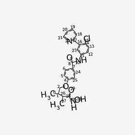 CC(COc1ccc(C(=O)Nc2ccc(Cl)c(-c3ccccn3)c2)cc1)C(C)C(=O)NO